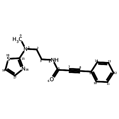 CN(CCNC(=O)C#Cc1ccccc1)c1nccs1